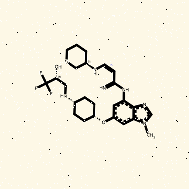 Cn1cnc2c(NC(=N)/C=C\N[C@@H]3CCCOC3)cc(O[C@H]3CC[C@@H](NC[C@@H](O)C(F)(F)F)CC3)cc21